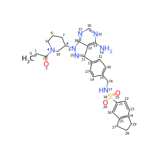 C=CC(=O)N1CCCC(n2nc(-c3ccc(CNS(=O)(=O)c4ccc5c(c4)CCC5)cc3)c3c(N)ncnc32)C1